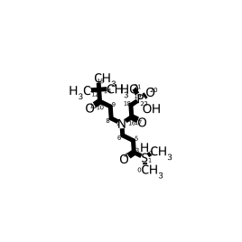 C[SH](C)C(=O)CCN(CCC(=O)C(C)(C)C)C(=O)CP(=O)(O)O